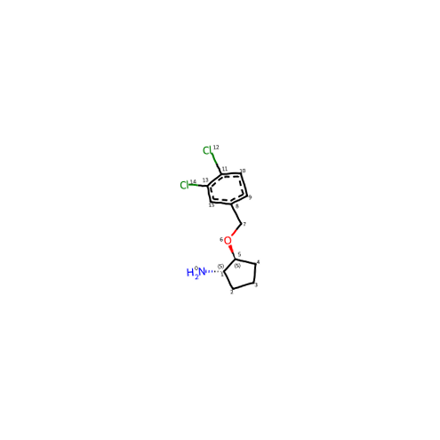 N[C@H]1CCC[C@@H]1OCc1ccc(Cl)c(Cl)c1